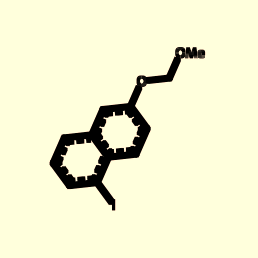 COCOc1ccc2c(I)cccc2c1